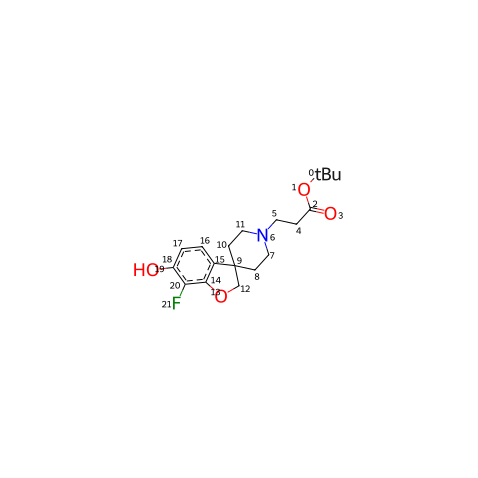 CC(C)(C)OC(=O)CCN1CCC2(CC1)COc1c2ccc(O)c1F